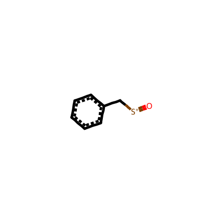 O=[S+]Cc1ccccc1